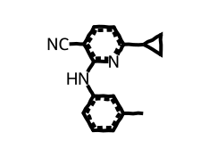 Cc1cccc(Nc2nc(C3CC3)ccc2C#N)c1